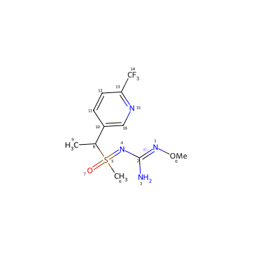 CO/N=C(\N)N=S(C)(=O)C(C)c1ccc(C(F)(F)F)nc1